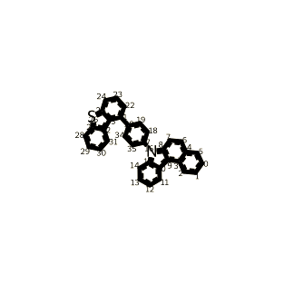 c1ccc2c(c1)ccc1c2c2ccccc2n1-c1ccc(-c2cccc3sc4ccccc4c23)cc1